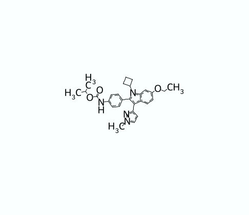 CCOc1ccc2c(-c3ccn(C)n3)c(-c3ccc(NC(=O)OC(C)C)cc3)n(C3CCC3)c2c1